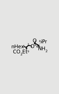 CCCCCCC(COC(=O)[C@@H](N)C(C)C)C(=O)OCC